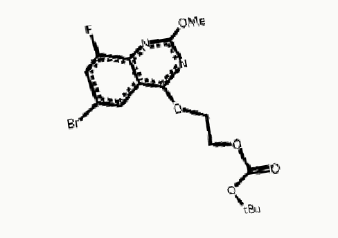 COc1nc(OCCOC(=O)OC(C)(C)C)c2cc(Br)cc(F)c2n1